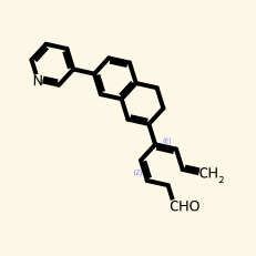 C=C/C=C(\C=C/CC=O)C1=Cc2cc(-c3cccnc3)ccc2CC1